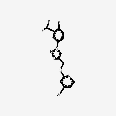 Fc1ccc(-n2cc(COc3cc(Br)ccn3)nn2)cc1C(F)F